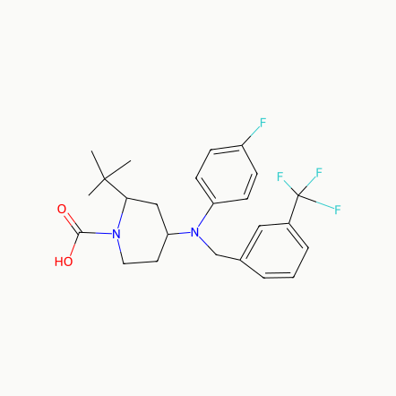 CC(C)(C)C1CC(N(Cc2cccc(C(F)(F)F)c2)c2ccc(F)cc2)CCN1C(=O)O